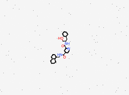 O=C(NCc1cccc2ccccc12)c1ccnc(C(=O)NC(CO)Cc2ccccc2)c1